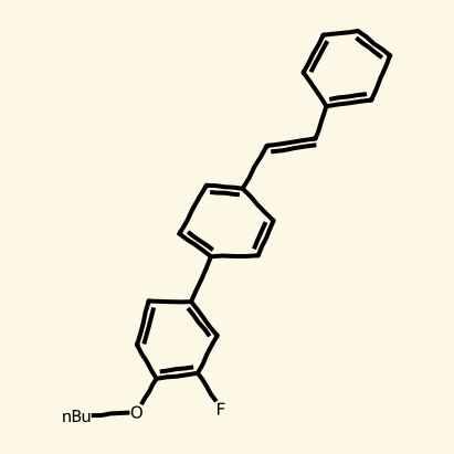 CCCCOc1ccc(-c2ccc(C=Cc3ccccc3)cc2)cc1F